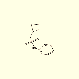 O=S(=O)(CC1CCC1)Nc1ccccc1